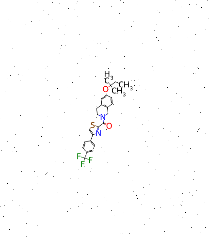 CCC(C)(C)Oc1ccc2c(c1)CCN(C(=O)c1nc(-c3ccc(C(F)(F)F)cc3)cs1)C2